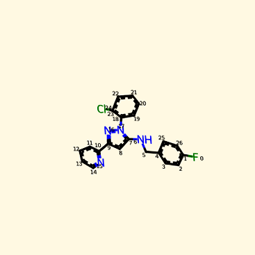 Fc1ccc(CNc2cc(-c3ccccn3)nn2-c2ccccc2Cl)cc1